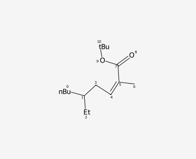 CCCCC(CC)CC=C(C)C(=O)OC(C)(C)C